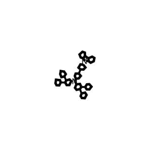 c1ccc(-c2ccc(N(c3ccc(-c4ccc(-n5c6ccccc6c6ccccc65)cc4)cc3)c3ccc(-c4ccccc4)c(-c4ccccc4)c3)cc2-c2ccccc2)cc1